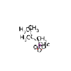 CC(=O)OP(CC=C(C)C=CC=C(C)CCC=C(C)C)(c1ccccc1)(c1ccccc1)c1ccccc1